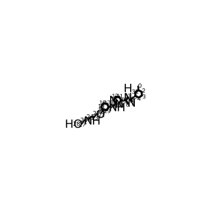 Cc1cccc(-c2ncc(-c3ccnc(Nc4cccc(OCCCNCCO)c4)n3)[nH]2)c1